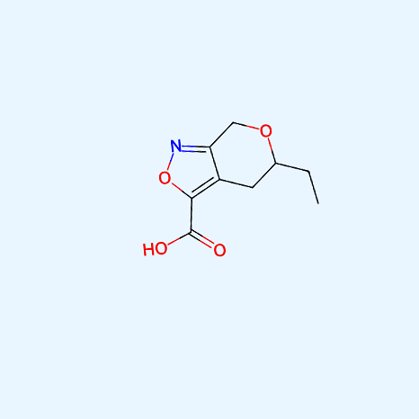 CCC1Cc2c(noc2C(=O)O)CO1